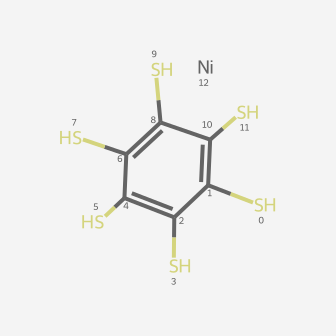 Sc1c(S)c(S)c(S)c(S)c1S.[Ni]